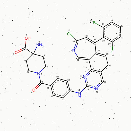 NC1(C(=O)O)CCN(C(=O)c2ccc(Nc3ncc4c(n3)C3=CN=C(Cl)C=C(c5c(F)cccc5F)C3=CC4)cc2)CC1